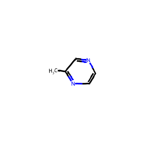 Cc1[c]nccn1